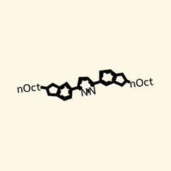 CCCCCCCCC1Cc2ccc(-c3ccc(-c4ccc5c(c4)CC(CCCCCCCC)C5)nn3)cc2C1